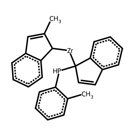 CC1=Cc2ccccc2[CH]1[Zr][C]1(Pc2ccccc2C)C=Cc2ccccc21